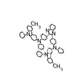 Cc1ccc2c(c1)C1=CC(N(c3ccccc3)c3ccc(-c4nc5ccccc5nc4-c4ccc(N(c5ccccc5)c5ccc6c(c5)c5cc(C)ccc5n6-c5ccccc5)cc4)cc3)=CCC1N2c1ccccc1